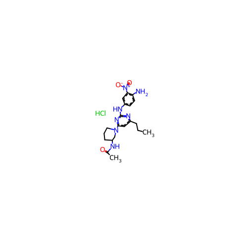 CCCc1cc(N2CCCC(NC(C)=O)C2)nc(Nc2ccc(N)c([N+](=O)[O-])c2)n1.Cl